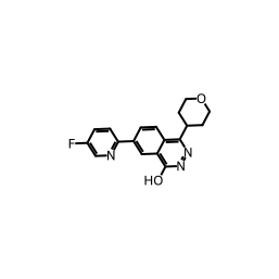 Oc1nnc(C2CCOCC2)c2ccc(-c3ccc(F)cn3)cc12